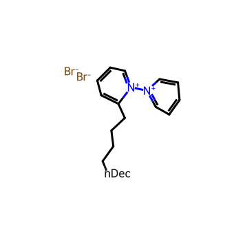 CCCCCCCCCCCCCCc1cccc[n+]1-[n+]1ccccc1.[Br-].[Br-]